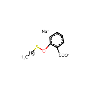 [CH3][Hg][S]Oc1ccccc1C(=O)[O-].[Na+]